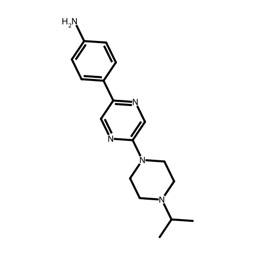 CC(C)N1CCN(c2cnc(-c3ccc(N)cc3)cn2)CC1